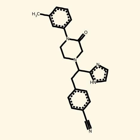 Cc1cccc(N2CCN(C(Cc3ccc(C#N)cc3)c3ncc[nH]3)CC2=O)c1